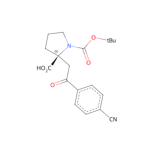 CC(C)(C)OC(=O)N1CCC[C@]1(CC(=O)c1ccc(C#N)cc1)C(=O)O